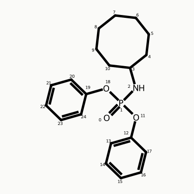 O=P(NC1CCCCCCC1)(Oc1ccccc1)Oc1ccccc1